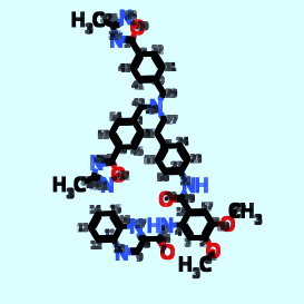 COc1cc(NC(=O)c2cnc3ccccc3n2)c(C(=O)Nc2ccc(CCN(Cc3ccc(-c4nc(C)no4)cc3)Cc3ccc(-c4nc(C)no4)cc3)cc2)cc1OC